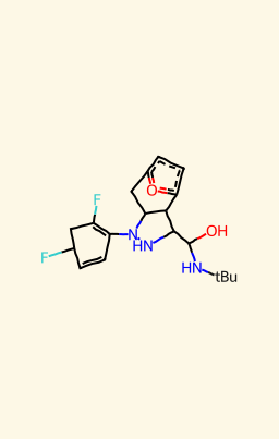 CC(C)(C)NC(O)C1NN(C2=C(F)CC(F)C=C2)C2Cc3ccc(o3)C12